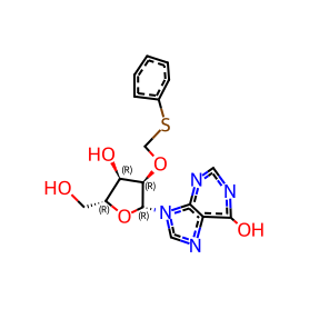 OC[C@H]1O[C@@H](n2cnc3c(O)ncnc32)[C@H](OCSc2ccccc2)[C@@H]1O